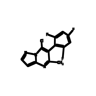 Cc1nc2ccnn2c(Cl)c1-c1c(F)cc(F)cc1F